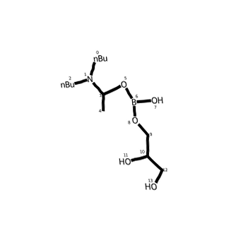 CCCCN(CCCC)C(C)OB(O)OCC(O)CO